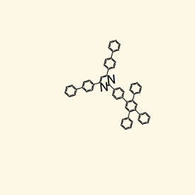 c1ccc(-c2ccc(-c3cc(-c4ccc(-c5ccccc5)cc4)nc(-c4ccc(-c5cc(-c6ccccc6)c(-c6ccccc6)cc5-c5ccccc5)cc4)n3)cc2)cc1